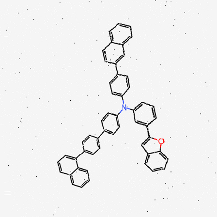 c1cc(-c2cc3ccccc3o2)cc(N(c2ccc(-c3ccc(-c4cccc5ccccc45)cc3)cc2)c2ccc(-c3ccc4ccccc4c3)cc2)c1